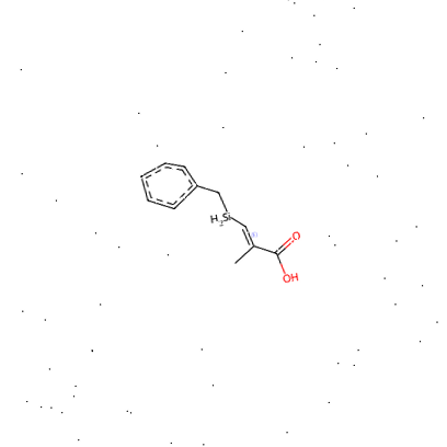 C/C(=C\[SiH2]Cc1ccccc1)C(=O)O